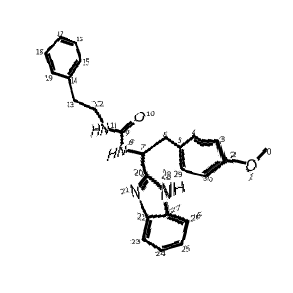 COc1ccc(CC(NC(=O)NCCc2ccccc2)c2nc3ccccc3[nH]2)cc1